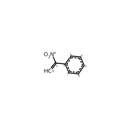 [CH]=C(c1ccccc1)[N+](=O)[O-]